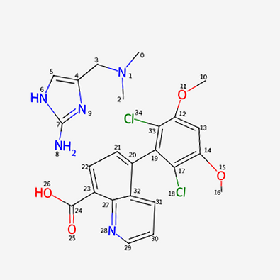 CN(C)Cc1c[nH]c(N)n1.COc1cc(OC)c(Cl)c(-c2ccc(C(=O)O)c3ncccc23)c1Cl